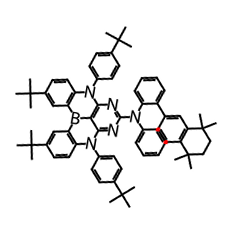 CC(C)(C)c1ccc(N2c3ccc(C(C)(C)C)cc3B3c4cc(C(C)(C)C)ccc4N(c4ccc(C(C)(C)C)cc4)c4nc(N(c5ccccc5)c5ccccc5-c5ccc6c(c5)C(C)(C)CCC6(C)C)nc2c43)cc1